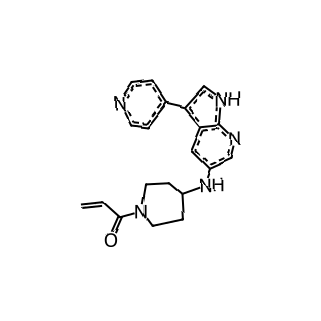 C=CC(=O)N1CCC(Nc2cnc3[nH]cc(-c4ccncc4)c3c2)CC1